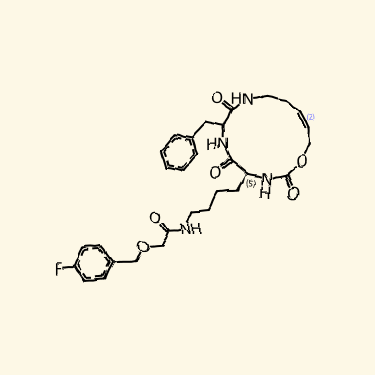 O=C(COCc1ccc(F)cc1)NCCCC[C@@H]1NC(=O)OC/C=C\CCNC(=O)C(Cc2ccccc2)NC1=O